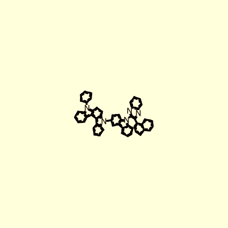 c1ccc(-n2c3ccccc3c3c4c5ccccc5n(-c5ccc6c(c5)c5ccccc5n6-c5nc6ccccc6nc5-c5cccc6ccccc56)c4ccc32)cc1